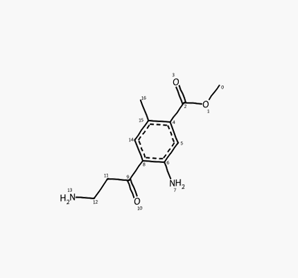 COC(=O)c1cc(N)c(C(=O)CCN)cc1C